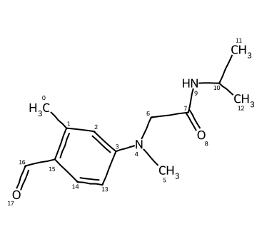 Cc1cc(N(C)CC(=O)NC(C)C)ccc1C=O